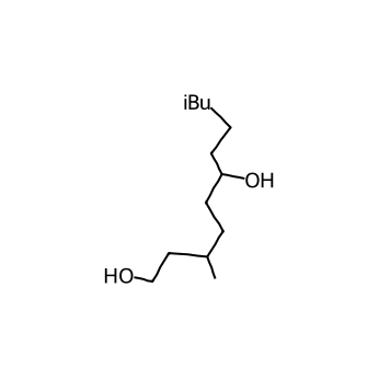 CCC(C)CCC(O)CCC(C)CCO